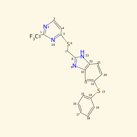 FC(F)(F)c1nccc(SCc2nc3cc(Sc4ccccc4)ccc3[nH]2)n1